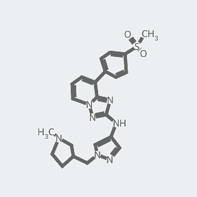 CN1CCC(Cn2cc(Nc3nc4c(-c5ccc(S(C)(=O)=O)cc5)cccn4n3)cn2)C1